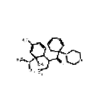 CCC(C(=O)C1(N2CCOCC2)C=CC=CC1)C1C=CC(C)=CC1(C)N(C)C